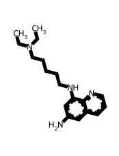 CCN(CC)CCCCCNc1cc(N)cc2cccnc12